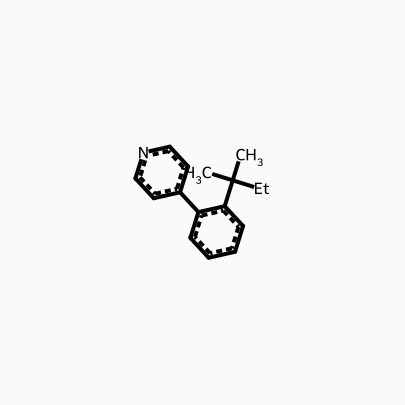 CCC(C)(C)c1ccccc1-c1ccncc1